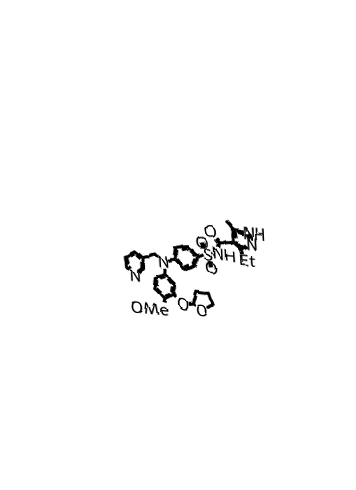 CCc1n[nH]c(C)c1C(=O)NS(=O)(=O)c1ccc(N(Cc2cccnc2)c2ccc(OC)c(OC3CCCO3)c2)cc1